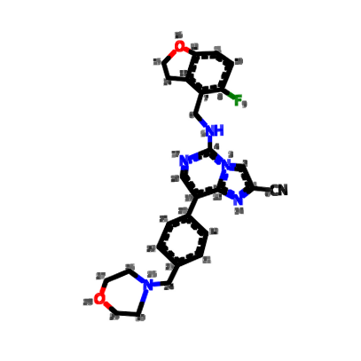 N#Cc1cn2c(NCc3c(F)ccc4c3CCO4)ncc(-c3ccc(CN4CCOCC4)cc3)c2n1